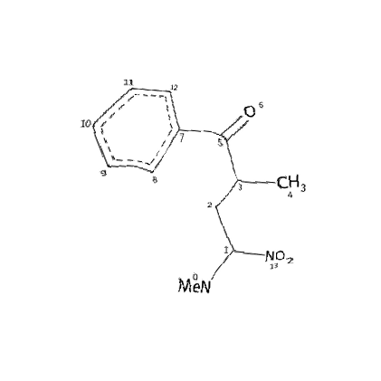 CNC(CC(C)C(=O)c1ccccc1)[N+](=O)[O-]